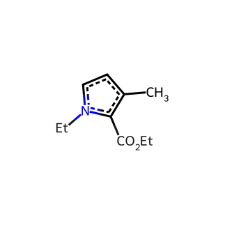 CCOC(=O)c1c(C)ccn1CC